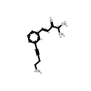 CCCC#Cc1cccc(/C=C/C(=O)C(C)C)c1